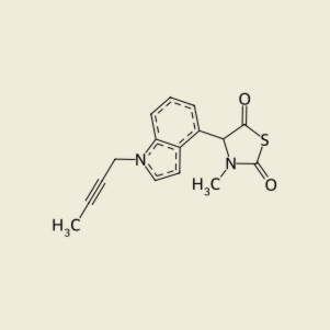 CC#CCn1ccc2c(C3C(=O)SC(=O)N3C)cccc21